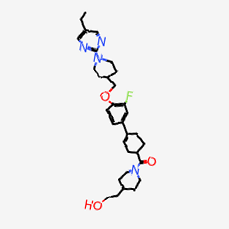 CCc1cnc(N2CCC(COc3ccc(C4=CCC(C(=O)N5CCC(CCO)CC5)CC4)cc3F)CC2)nc1